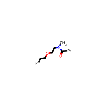 CC(C)CCOCCN(C)C(=O)C(C)C